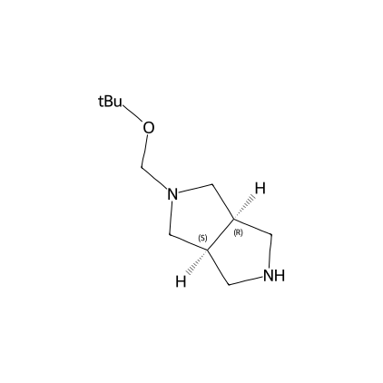 CC(C)(C)OCN1C[C@H]2CNC[C@H]2C1